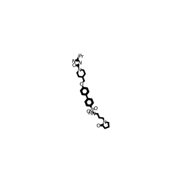 CC(C)c1noc(N2CCC(COc3ccc(-c4ccc(S(=O)(=O)NCCCN5CCCC5=O)cc4)cc3)CC2)n1